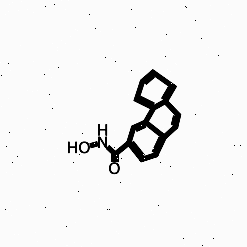 O=C(NO)c1ccc2ccc3ccccc3c2c1